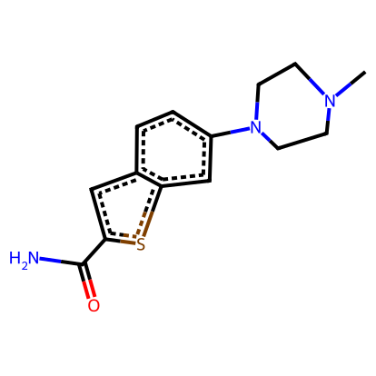 CN1CCN(c2ccc3cc(C(N)=O)sc3c2)CC1